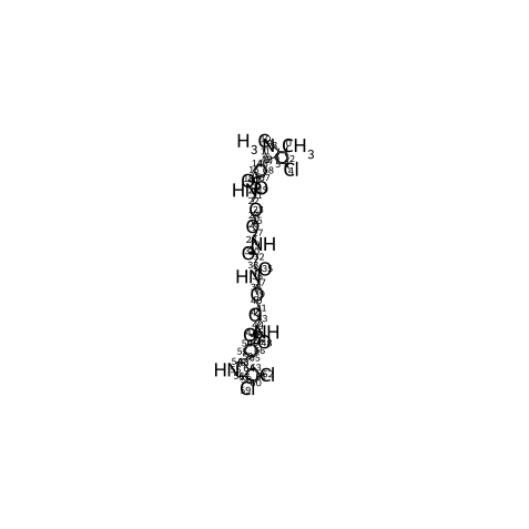 Cc1cc(Cl)cc2c1CN(C)C[C@H]2c1ccc(S(=O)(=O)NCCOCCOCCNC(=O)CCC(=O)NCCOCCOCCNS(=O)(=O)c2ccc([C@@H]3CNCc4c(Cl)cc(Cl)cc43)cc2)cc1